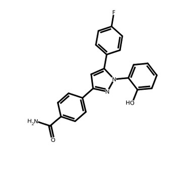 NC(=O)c1ccc(-c2cc(-c3ccc(F)cc3)n(-c3ccccc3O)n2)cc1